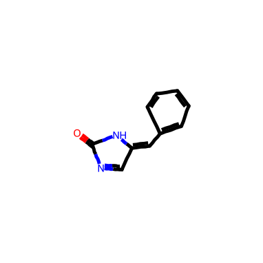 O=C1N=CC(=Cc2ccccc2)N1